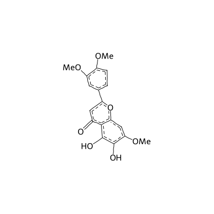 COc1ccc(-c2cc(=O)c3c(O)c(O)c(OC)cc3o2)cc1OC